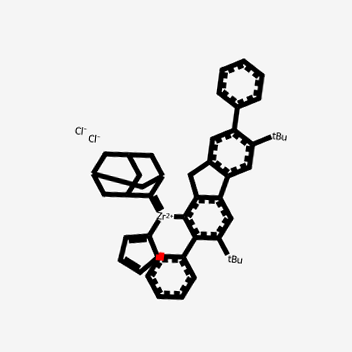 CC(C)(C)c1cc2c(cc1-c1ccccc1)Cc1c-2cc(C(C)(C)C)c(-c2ccccc2)[c]1[Zr+2]([C]1=CC=CC1)=[C]1C2CC3CC(C2)CC1C3.[Cl-].[Cl-]